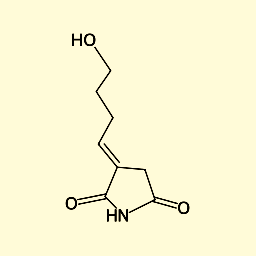 O=C1CC(=CCCCO)C(=O)N1